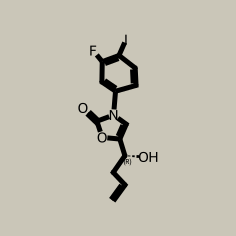 C=CC[C@@H](O)c1cn(-c2ccc(I)c(F)c2)c(=O)o1